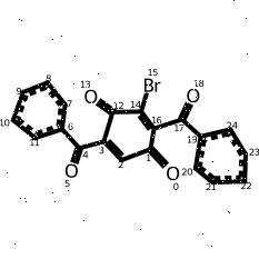 O=C1C=C(C(=O)c2ccccc2)C(=O)C(Br)=C1C(=O)c1ccccc1